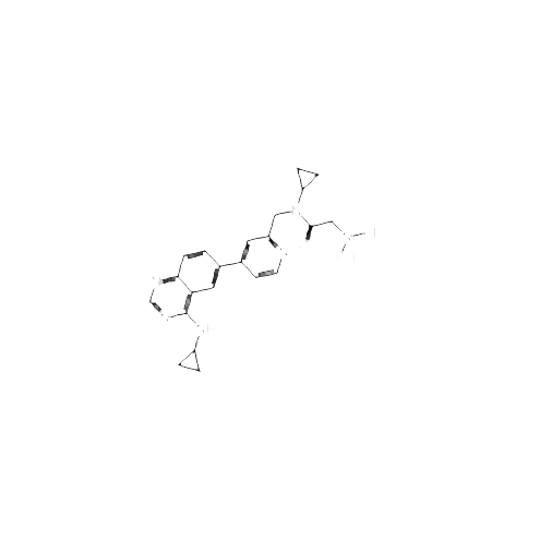 CN(C)CC(=O)N(Cc1cc(-c2ccc3ncnc(NC4CC4)c3c2)ccn1)C1CC1